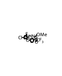 COCCNc1c(S(=O)(=O)C(F)(F)F)ccc(Oc2cc(F)cc(Cl)c2)c1C#N